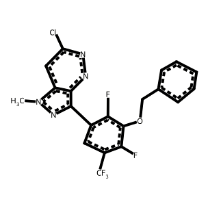 Cn1nc(-c2cc(C(F)(F)F)c(F)c(OCc3ccccc3)c2F)c2nnc(Cl)cc21